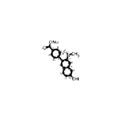 COC(=O)c1ccc(-c2cc3ccc(O)cc3cc2N(C)C)cc1